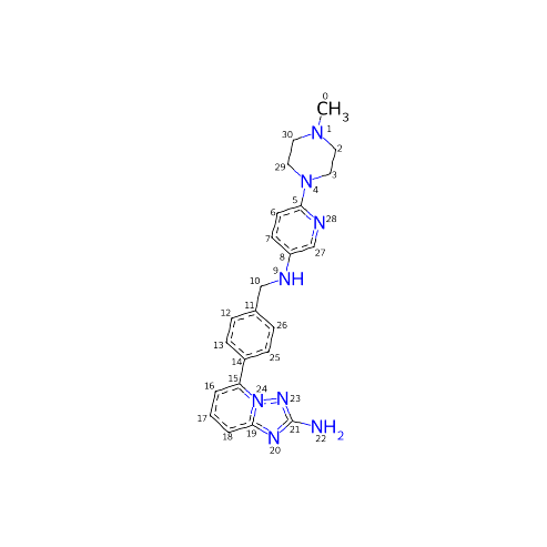 CN1CCN(c2ccc(NCc3ccc(-c4cccc5nc(N)nn45)cc3)cn2)CC1